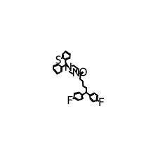 O=C(CCCCC(c1ccc(F)cc1)c1ccc(F)cc1)N1CCN(C2c3ccccc3Sc3ccccc32)CC1